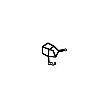 O=C1C2CC3CC1C(C(=O)O)(C3)C2